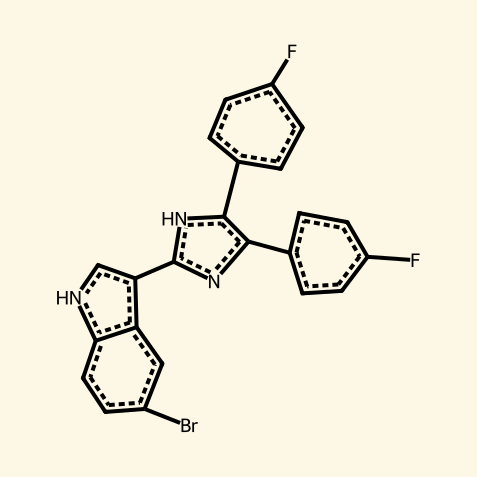 Fc1ccc(-c2nc(-c3c[nH]c4ccc(Br)cc34)[nH]c2-c2ccc(F)cc2)cc1